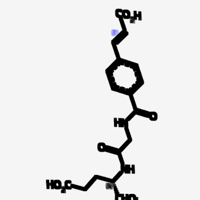 O=[C][C@H](CCC(=O)O)NC(=O)CNC(=O)c1ccc(/C=C/C(=O)O)cc1